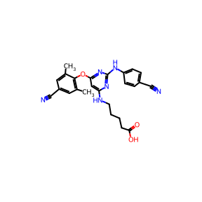 Cc1cc(C#N)cc(C)c1Oc1cc(NCCCCC(=O)O)nc(Nc2ccc(C#N)cc2)n1